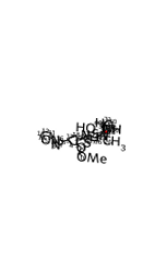 COCOc1cc(-c2cnn(C3CCCCO3)c2)ccc1-c1nc2sc(N(C)[C@H]3C[C@H]4CC[C@@H](C3)N4C(=O)O)cc2s1